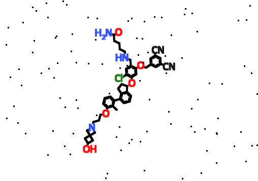 Cc1c(OCCCN2CC3(CC(O)C3)C2)cccc1-c1cccc2c1CC[C@@H]2Oc1cc(OCc2cc(C#N)cc(C#N)c2)c(CNCCCCC(N)=O)cc1Cl